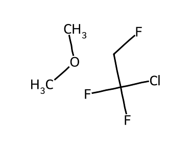 COC.FCC(F)(F)Cl